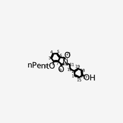 CCCCCOc1cccc2c1C(=O)N(CCc1ccc(O)cc1)C2=O